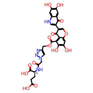 O=C(O)CC[C@H](NC(=O)Cn1cc(COC(=O)c2c(O)c(O)cc3occ(-c4c[nH]c5cc(O)c(O)cc5c4=O)c(=O)c23)nn1)C(=O)O